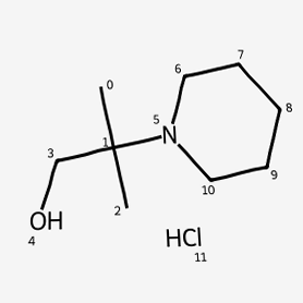 CC(C)(CO)N1CCCCC1.Cl